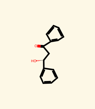 O=C(C[C@@H](O)c1ccccc1)c1ccccc1